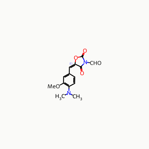 COc1cc(/C=C2/OC(=O)N(C=O)C2=O)ccc1N(C)C